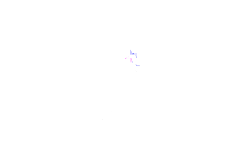 CCCCCCCCCCCCc1ccn(C(=O)NN)c1